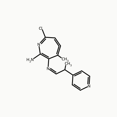 CC1=C=CC(Cl)=NC(N)=C1/N=C\C(C)c1ccncc1